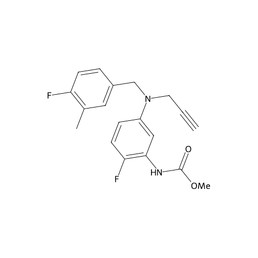 C#CCN(Cc1ccc(F)c(C)c1)c1ccc(F)c(NC(=O)OC)c1